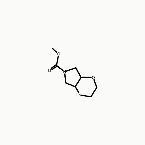 COC(=O)N1CC2NCCOC2C1